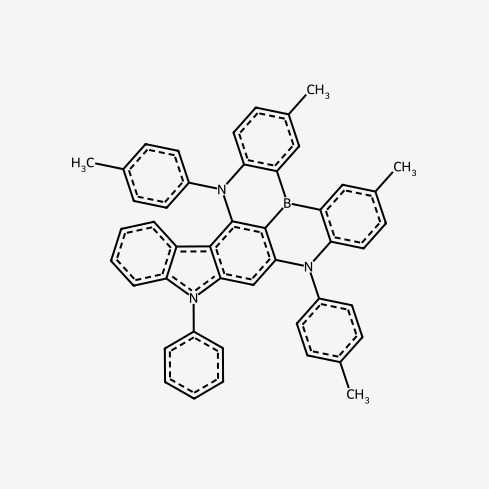 Cc1ccc(N2c3ccc(C)cc3B3c4cc(C)ccc4N(c4ccc(C)cc4)c4c3c2cc2c4c3ccccc3n2-c2ccccc2)cc1